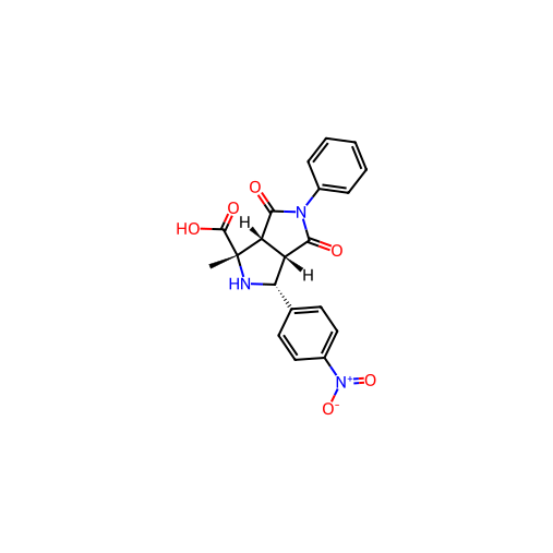 C[C@]1(C(=O)O)N[C@@H](c2ccc([N+](=O)[O-])cc2)[C@H]2C(=O)N(c3ccccc3)C(=O)[C@H]21